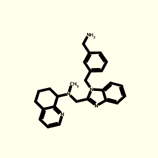 CN(Cc1nc2ccccc2n1Cc1cccc(CN)c1)C1CCCc2cccnc21